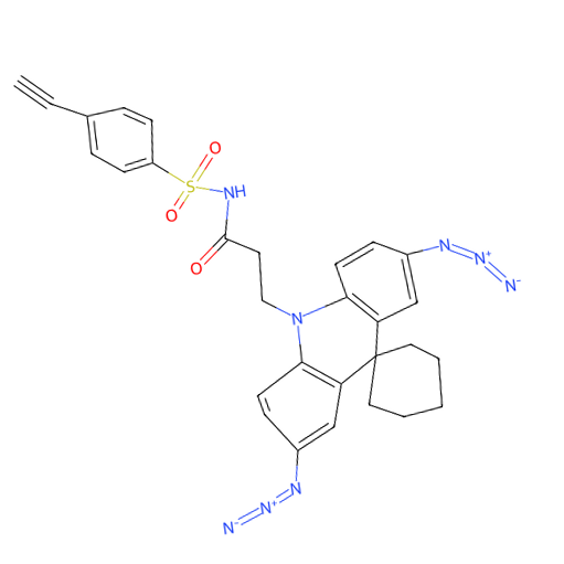 C#Cc1ccc(S(=O)(=O)NC(=O)CCN2c3ccc(N=[N+]=[N-])cc3C3(CCCCC3)c3cc(N=[N+]=[N-])ccc32)cc1